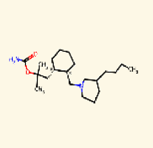 CCCCC1CCCN(C[C@@H]2CCCC[C@H]2CC(C)(C)OC(N)=O)C1